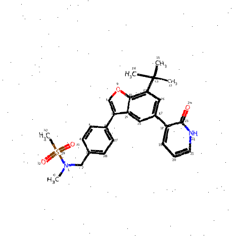 CN(Cc1ccc(-c2coc3c(C(C)(C)C)cc(-c4ccc[nH]c4=O)cc23)cc1)S(C)(=O)=O